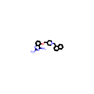 Nc1nc(N)c2c(OCC3CCN(Cc4cccc5ccccc45)CC3)cccc2n1